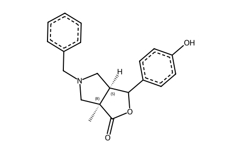 C[C@]12CN(Cc3ccccc3)C[C@H]1C(c1ccc(O)cc1)OC2=O